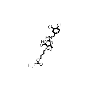 CC(=O)OCCCCn1ncc2nc(NCc3ccc(Cl)c(Cl)c3)[nH]c(=O)c21